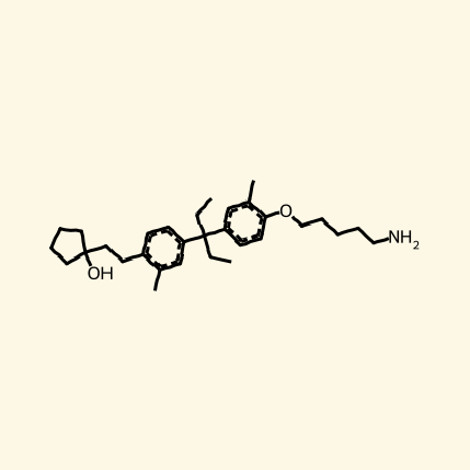 CCC(CC)(c1ccc(CCC2(O)CCCC2)c(C)c1)c1ccc(OCCCCCN)c(C)c1